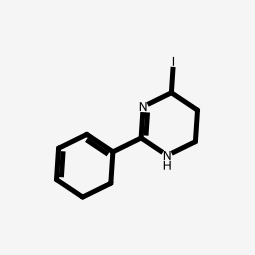 IC1CCNC(C2=CC=CCC2)=N1